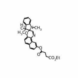 CCOC(=O)CCC(=O)Oc1ccc2ccc3c(c2c1)N=CC1(O3)N(C)c2ccccc2C1(C)C